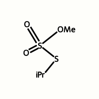 COS(=O)(=O)SC(C)C